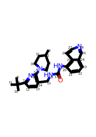 CC1CCN(c2nc(C(C)(C)C)ccc2CNC(=O)Nc2cccc3cnccc23)CC1